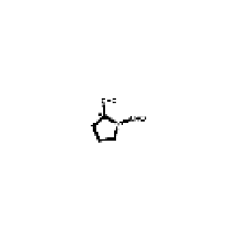 O=C[C@@H]1CCCN1C=O